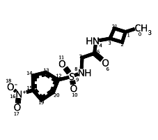 CC1CC(NC(=O)CNS(=O)(=O)c2ccc([N+](=O)[O-])cc2)C1